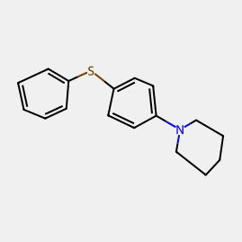 c1ccc(Sc2ccc(N3CCCCC3)cc2)cc1